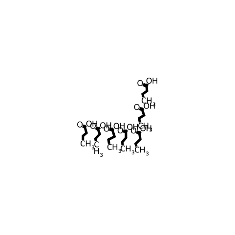 CCCC(=O)O.CCCC(=O)O.CCCC(=O)O.CCCC(=O)O.CCCC(=O)O.CCCC(=O)O.CCCC(=O)O